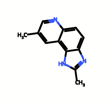 Cc1cnc2ccc3nc(C)[nH]c3c2c1